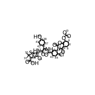 COC(=O)Oc1cccc2c(=O)n(-c3cc(C(=O)N[C@@H](C(=O)N[C@@H]4C(=O)N5C4SC(C)(C)C5C(=O)O)c4ccc(O)cc4)ccc3Cl)c(=O)oc12